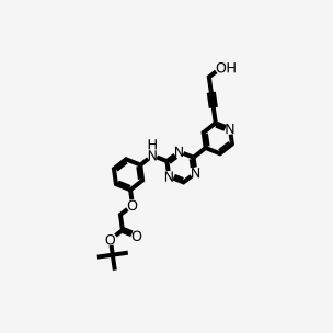 CC(C)(C)OC(=O)COc1cccc(Nc2ncnc(-c3ccnc(C#CCO)c3)n2)c1